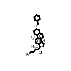 CC(C)CCC[C@@H](C)[C@H]1CC[C@H]2[C@@H]3CC=C4C[C@@H](OCc5ccccc5)CC[C@]4(C)[C@H]3CC[C@]12C